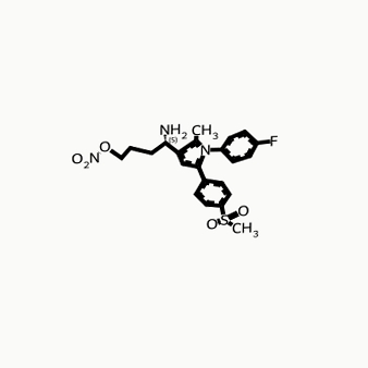 Cc1c([C@@H](N)CCCO[N+](=O)[O-])cc(-c2ccc(S(C)(=O)=O)cc2)n1-c1ccc(F)cc1